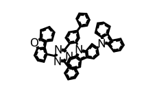 c1ccc(-c2ccc(-c3nc(-c4ccccc4)nc(-c4cccc5oc6ccccc6c45)n3)c(-n3c4ccccc4c4ccc(-n5c6ccccc6c6ccccc65)cc43)c2)cc1